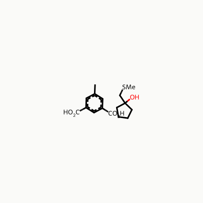 CSCC1(O)CCCC1.Cc1cc(C(=O)O)cc(C(=O)O)c1